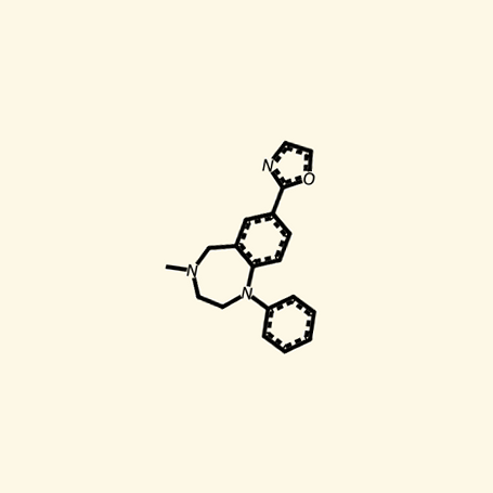 CN1CCN(c2ccccc2)c2ccc(-c3ncco3)cc2C1